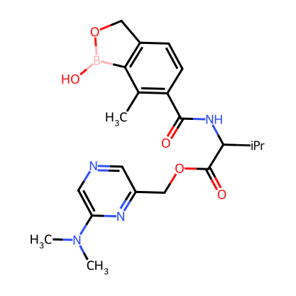 Cc1c(C(=O)NC(C(=O)OCc2cncc(N(C)C)n2)C(C)C)ccc2c1B(O)OC2